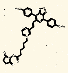 COc1ccc(-c2nc(/C=C/c3ccc[n+](CCCCCC(=O)ON4C(=O)CCC4=O)c3)c(-c3ccc(OC)cc3)c3nonc23)cc1